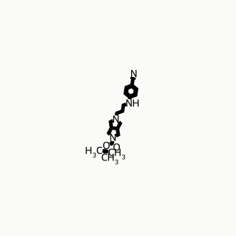 CC(C)(C)OC(=O)N1CC2CN(CCCNc3ccc(C#N)cc3)CC2C1